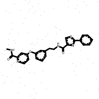 CNC(=O)c1cc(Oc2cccc(CCNC(=O)c3csc(-c4ccccc4)n3)c2)ccn1